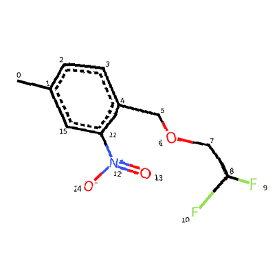 Cc1ccc(COCC(F)F)c([N+](=O)[O-])c1